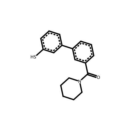 O=C(c1cccc(-c2cccc(S)c2)c1)N1CCCCC1